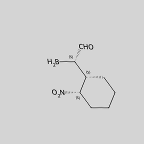 B[C@H](C=O)[C@@H]1CCCC[C@@H]1[N+](=O)[O-]